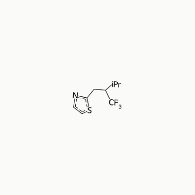 CC(C)C(Cc1nccs1)C(F)(F)F